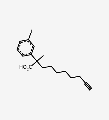 C#CCCCCCCC(C)(C(=O)O)c1cccc(I)c1